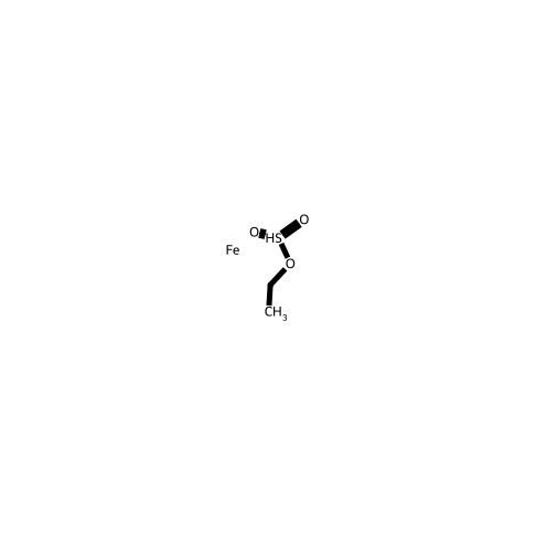 CCO[SH](=O)=O.[Fe]